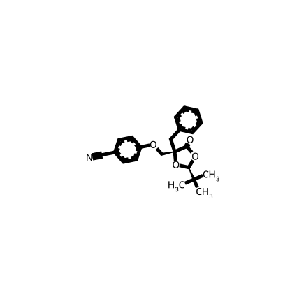 CC(C)(C)[C@@H]1OC(=O)[C@@](COc2ccc(C#N)cc2)(Cc2ccccc2)O1